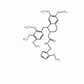 COc1ccccc1CNC(=O)CN1CCc2cc(OC)c(OC)cc2C1Cc1ccc(OC)c(OC)c1OC